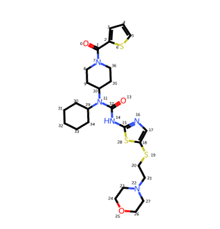 O=C(c1cccs1)N1CCC(N(C(=O)Nc2ncc(SCCN3CCOCC3)s2)C2CCCCC2)CC1